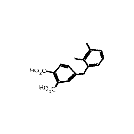 Cc1cccc(Cc2ccc(C(=O)O)c(C(=O)O)c2)c1C